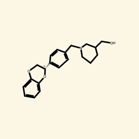 OCC1CCCN(Cc2ccc([C@H]3COc4ccccc4O3)cc2)C1